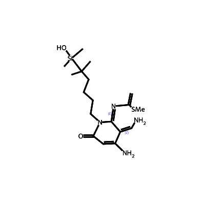 C=C(/N=C1\C(=C/N)C(N)=CC(=O)N1CCCCC(C)(C)[Si](C)(C)O)SC